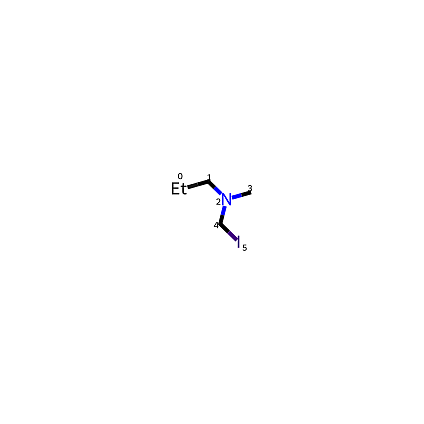 CCCN(C)CI